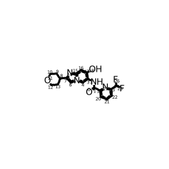 O=C(Nc1cn2cc(C3CCOCC3)nc2cc1O)c1cccc(C(F)F)n1